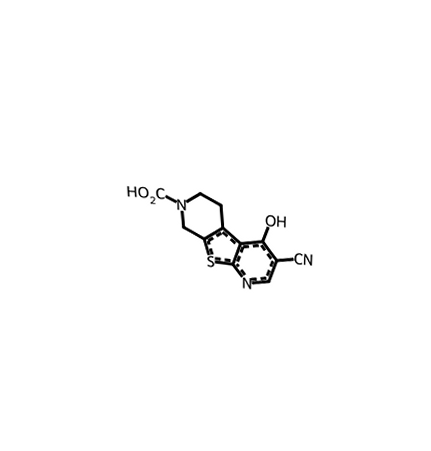 N#Cc1cnc2sc3c(c2c1O)CCN(C(=O)O)C3